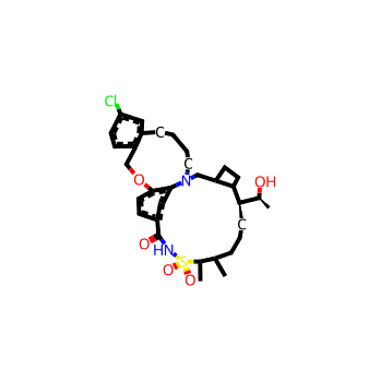 CC1CCC[C@H]([C@H](C)O)C2CCC2CN2CCCCc3cc(Cl)ccc3COc3ccc(cc32)C(=O)NS(=O)(=O)C1C